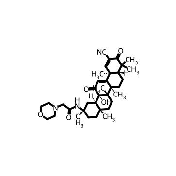 CC1(C)C(=O)C(C#N)=C[C@]2(C)C3=CC(=O)[C@]4(O)[C@@H]5C[C@@](C)(NC(=O)CN6CCOCC6)CC[C@@]5(C)CC[C@@]4(C)[C@]3(C)CC[C@@H]12